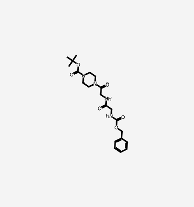 CC(C)(C)OC(=O)N1CCN(C(=O)CNC(=O)CNC(=O)OCc2ccccc2)CC1